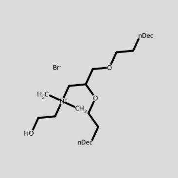 CCCCCCCCCCCCOCC(C[N+](C)(C)CCO)OCCCCCCCCCCCC.[Br-]